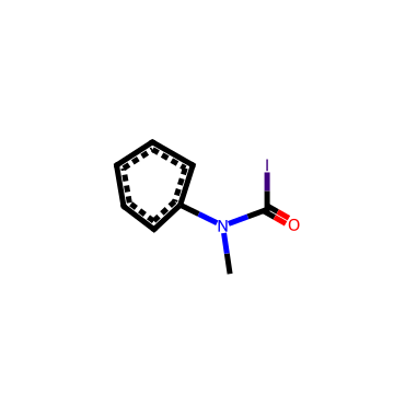 CN(C(=O)I)c1ccccc1